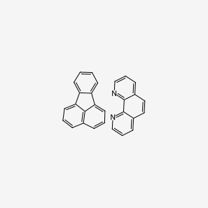 c1ccc2c(c1)-c1cccc3cccc-2c13.c1cnc2c(c1)ccc1cccnc12